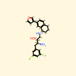 N[C@@H](Cc1cc(F)cc(F)c1)[C@H](O)CN[C@H]1CCCc2ccc(-c3ccoc3)cc21